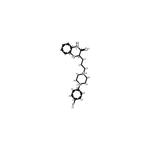 O=C1Nc2ccccc2SC1CCCN1CCN(c2ccc(F)cc2)CC1